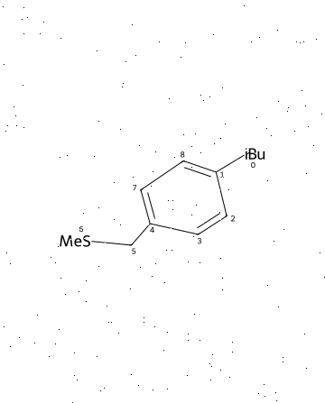 CCC(C)c1ccc(CSC)cc1